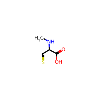 CNC(C=S)C(=O)O